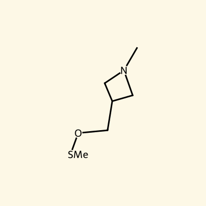 CSOCC1CN(C)C1